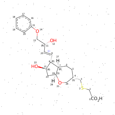 O=C(O)CSC[C@H]1CC[C@@H]2[C@@H](/C=C/[C@@H](O)COc3ccccc3)[C@H](O)C[C@@H]2OC1